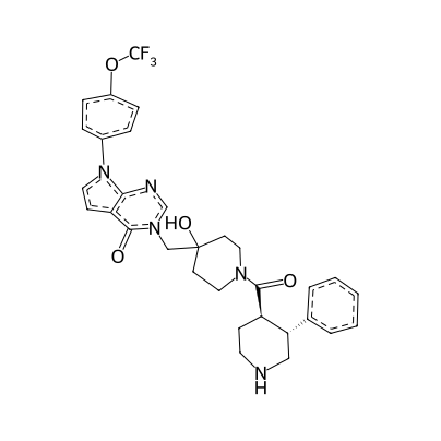 O=C([C@@H]1CCNC[C@H]1c1ccccc1)N1CCC(O)(Cn2cnc3c(ccn3-c3ccc(OC(F)(F)F)cc3)c2=O)CC1